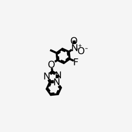 Cc1cc([N+](=O)[O-])c(F)cc1Oc1nc2ccccn2n1